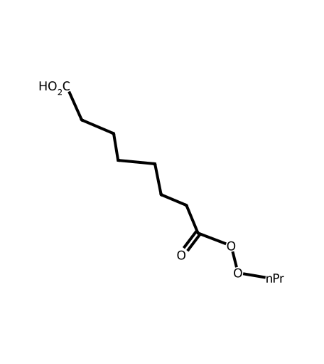 CCCOOC(=O)CCCCCCC(=O)O